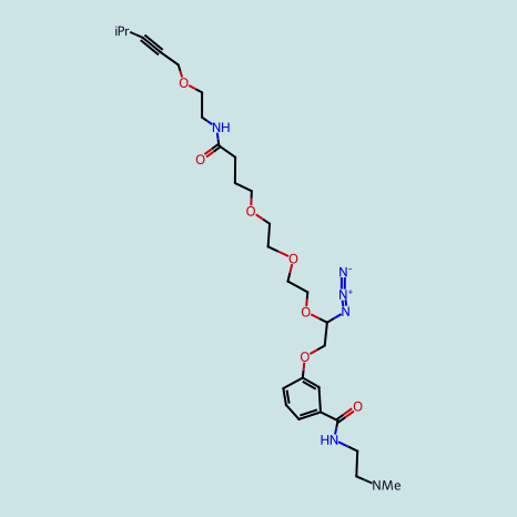 CNCCNC(=O)c1cccc(OCC(N=[N+]=[N-])OCCOCCOCCCC(=O)NCCOCC#CC(C)C)c1